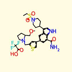 CCS(=O)(=O)N1CCC(c2c[nH]c3c(C(N)=O)cc(-c4csc(CN5CCCC5COC)c4)cc23)CC1.O=C(O)C(F)(F)F